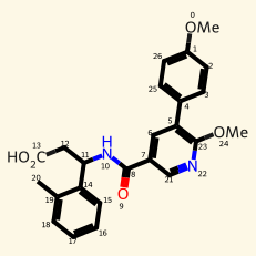 COc1ccc(-c2cc(C(=O)NC(CC(=O)O)c3ccccc3C)cnc2OC)cc1